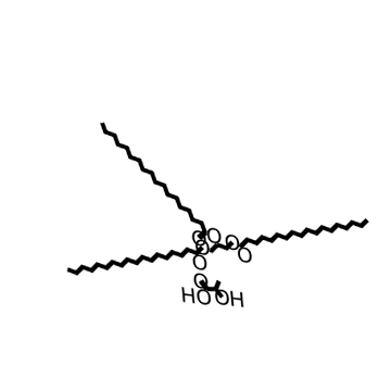 CC(O)C(=O)O.CCCCCCCCCCCCCCCCCC(=O)OCC(COC(=O)CCCCCCCCCCCCCCCCC)OC(=O)CCCCCCCCCCCCCCCCC